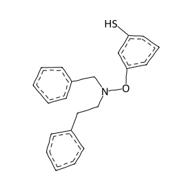 Sc1cccc(ON(CCc2ccccc2)Cc2ccccc2)c1